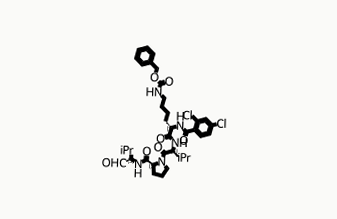 CC(C)[C@H](NC(=O)[C@H](CCCCNC(=O)OCc1ccccc1)NC(=O)c1ccc(Cl)cc1Cl)C(=O)N1CCC[C@H]1C(=O)N[C@H](C=O)C(C)C